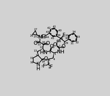 O=C(N[C@@H](CCC(F)F)C(=O)N[C@@H](C[C@@H]1CCNC1=O)C(=O)C(=O)NC1CC1)OC(c1ccccc1)C(F)(F)c1cccc(Cl)c1